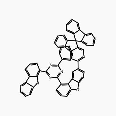 c1ccc(-c2nc(-c3cccc4c3sc3ccccc34)nc(-c3cccc4oc5ccc(-c6ccc7c(c6)-c6ccccc6C76c7ccccc7-c7ccccc76)cc5c34)n2)cc1